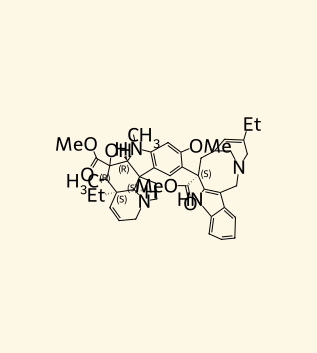 CCC1=CC2CN(C1)Cc1c([nH]c3ccccc13)[C@@](C(=O)OC)(c1cc3c(cc1OC)N(C)[C@H]1C(O)(C(=O)OC)[C@H](C)[C@]4(CC)C=CCN5CCC31[C@@H]54)C2